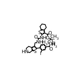 CC(C)(C)OC(=O)c1c(NC(=O)NCc2c(-c3ccc(C(=O)O)cc3I)sc3c2CCNC3)sc2c1CCCC2